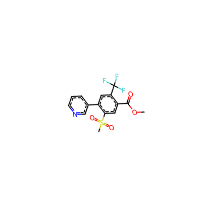 COC(=O)c1cc(S(C)(=O)=O)c(-c2cccnc2)cc1C(F)(F)F